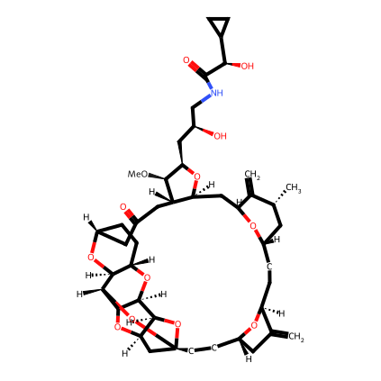 C=C1C[C@@H]2CC[C@@]34C[C@H]5OC6[C@@H](O[C@H]7CC[C@H](CC(=O)C[C@@H]8[C@@H](OC)[C@@H](C[C@H](O)CNC(=O)[C@H](O)C9CC9)O[C@H]8C[C@H]8O[C@@H](CC[C@@H]1O2)C[C@@H](C)C8=C)O[C@@H]7[C@@H]6O3)[C@H]5O4